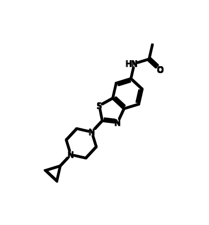 CC(=O)Nc1ccc2nc(N3CCN(C4CC4)CC3)sc2c1